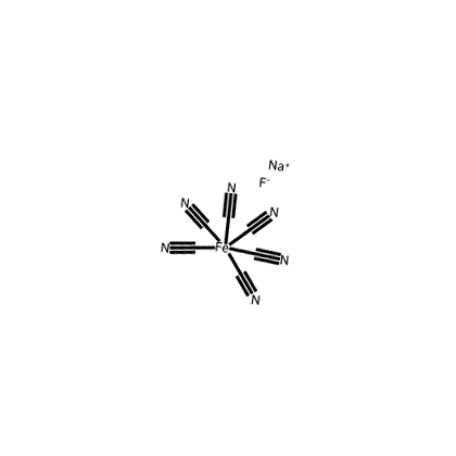 N#[C][Fe]([C]#N)([C]#N)([C]#N)([C]#N)[C]#N.[F-].[Na+]